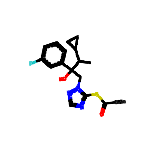 COC(=O)Sc1ncnn1CC(O)(c1cccc(F)c1)C(C)C1CC1